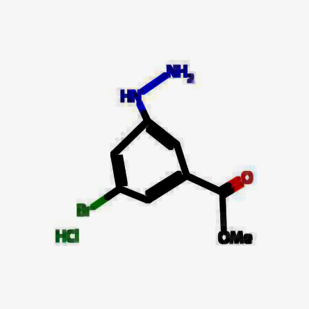 COC(=O)c1cc(Br)cc(NN)c1.Cl